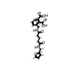 O=C(CCCC(=O)NCC12C=CC(O1)C(C(=O)O)=C2C(=O)O)NCc1ccco1